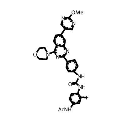 COc1ncc(-c2ccc3c(N4CCOCC4)nc(-c4ccc(NC(=O)Nc5ccc(NC(C)=O)cc5F)cc4)nc3c2)cn1